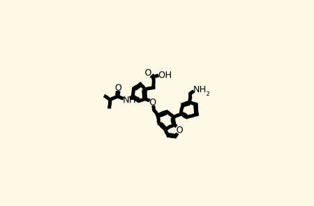 CC(C)C(=O)Nc1ccc(CC(=O)O)c(OCc2cc(-c3cccc(CN)c3)c3occc3c2)c1